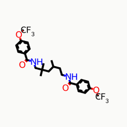 CC(CCNC(=O)c1ccc(OC(F)(F)F)cc1)CC(C)(C)CNC(=O)c1ccc(OC(F)(F)F)cc1